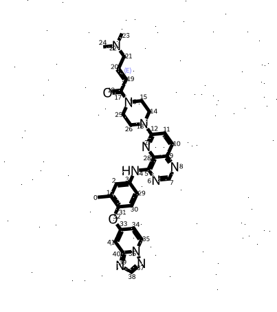 Cc1cc(Nc2ncnc3ccc(N4CCN(C(=O)/C=C/CN(C)C)CC4)nc23)ccc1Oc1ccn2ncnc2c1